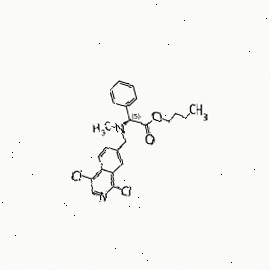 CCCCOC(=O)[C@H](c1ccccc1)N(C)Cc1ccc2c(Cl)cnc(Cl)c2c1